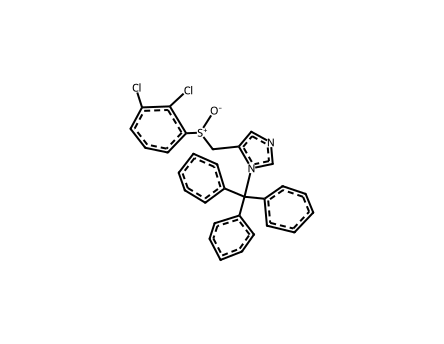 [O-][S+](Cc1cncn1C(c1ccccc1)(c1ccccc1)c1ccccc1)c1cccc(Cl)c1Cl